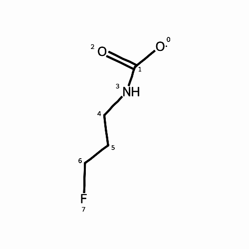 [O]C(=O)NCCCF